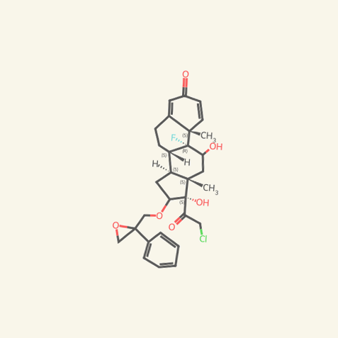 C[C@]12C=CC(=O)C=C1CC[C@H]1[C@@H]3CC(OCC4(c5ccccc5)CO4)[C@](O)(C(=O)CCl)[C@@]3(C)CC(O)[C@@]12F